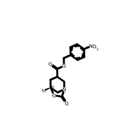 O=C(OCc1ccc([N+](=O)[O-])cc1)C1C[C@@H]2CN(C1)C(=O)O2